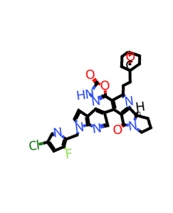 O=C1c2c(nc(CCC34CCC(CC3)OC4)c(-c3n[nH]c(=O)o3)c2-c2cnc3c(ccn3Cc3ncc(Cl)cc3F)c2)[C@@H]2CCCN12